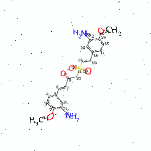 COc1ccc(/C=C/C(=O)CS(=O)(=O)/C=C/c2ccc(OC)c(N)c2)cc1N